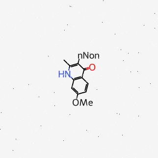 CCCCCCCCCc1c(C)[nH]c2cc(OC)ccc2c1=O